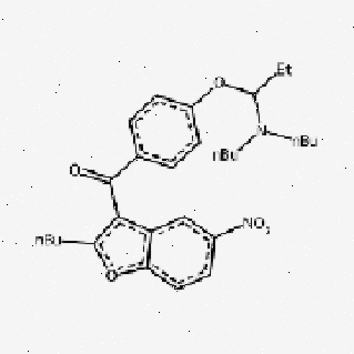 CCCCc1oc2ccc([N+](=O)[O-])cc2c1C(=O)c1ccc(OC(CC)N(CCCC)CCCC)cc1